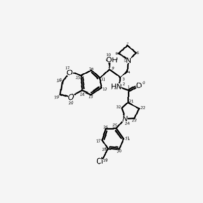 O=C(N[C@H](CN1CCC1)[C@H](O)c1ccc2c(c1)OCCO2)C1CCN(c2ccc(Cl)cc2)C1